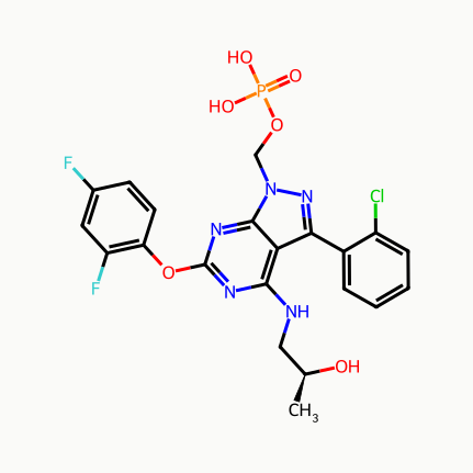 C[C@H](O)CNc1nc(Oc2ccc(F)cc2F)nc2c1c(-c1ccccc1Cl)nn2COP(=O)(O)O